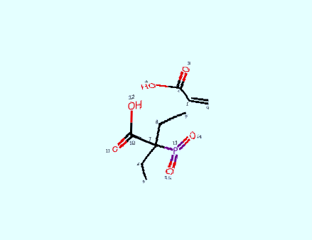 C=CC(=O)O.CCC(CC)(C(=O)O)P(=O)=O